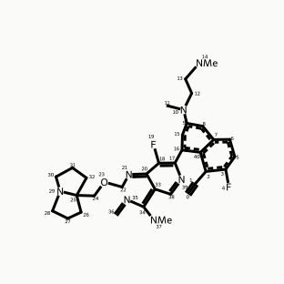 C#Cc1c(F)ccc2cc(N(C)CCNC)cc(C3=C(F)C(=N/COCC45CCCN4CCC5)/C(=C(\N=C)NC)C=N3)c12